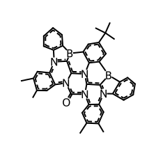 Cc1cc2c(cc1C)n1c(=O)n3c4cc(C)c(C)cc4n4c5c-3n3c-1c1n2-c2ccccc2B1c1cc(C(C)(C)C)cc(c1-3)B5c1ccccc1-4